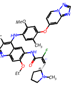 CCOc1cc2ncc(C#N)c(Nc3cc(C)c(Oc4ccn5ncnc5c4)cc3OC)c2cc1NC(=O)/C(F)=C\[C@H]1CCCN1C